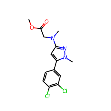 COC(=O)CN(C)c1cc(-c2ccc(Cl)c(Cl)c2)n(C)n1